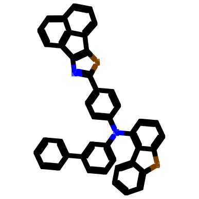 c1ccc(-c2cccc(N(c3ccc(-c4nc5c(s4)-c4cccc6cccc-5c46)cc3)c3cccc4sc5ccccc5c34)c2)cc1